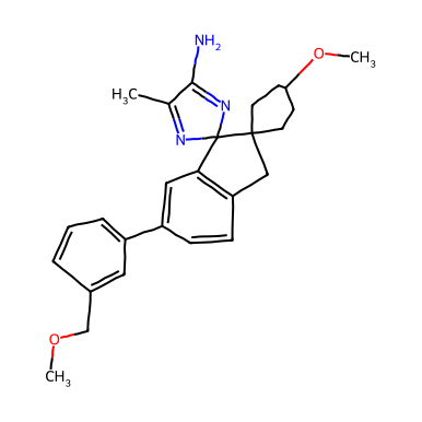 COCc1cccc(-c2ccc3c(c2)C2(N=C(C)C(N)=N2)C2(CCC(OC)CC2)C3)c1